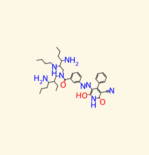 CCCCNC(CN(CC(CC)C(N)CCC)C(=O)c1cccc(/N=N/c2c(O)[nH]c(=O)c(C#N)c2-c2ccccc2)c1)C(N)CCC